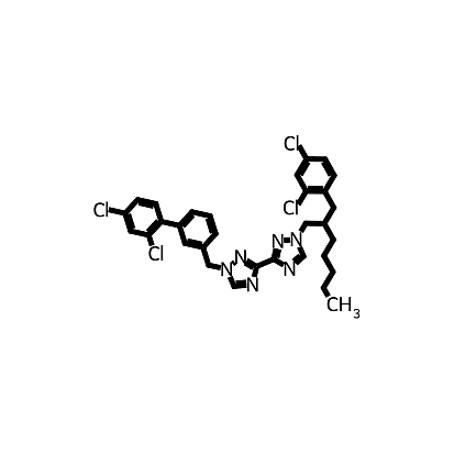 CCCCCC(Cc1ccc(Cl)cc1Cl)Cn1cnc(-c2ncn(Cc3cccc(-c4ccc(Cl)cc4Cl)c3)n2)n1